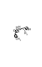 Cc1ccc(Cc2cnc(NCCSCc3nc[nH]c3C)[nH]c2=O)cn1